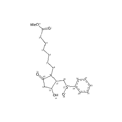 COC(=O)CCCCCCC1C(=O)CC(O)C1C[S+]([O-])c1ccccc1